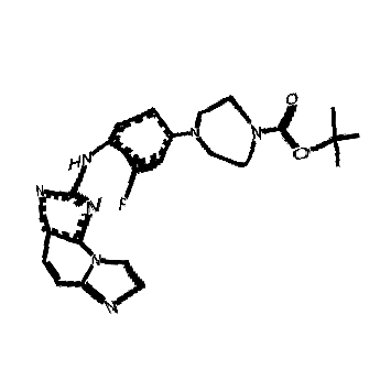 CC(C)(C)OC(=O)N1CCN(c2ccc(Nc3ncc4c(n3)N3CCN=C3C=C4)c(F)c2)CC1